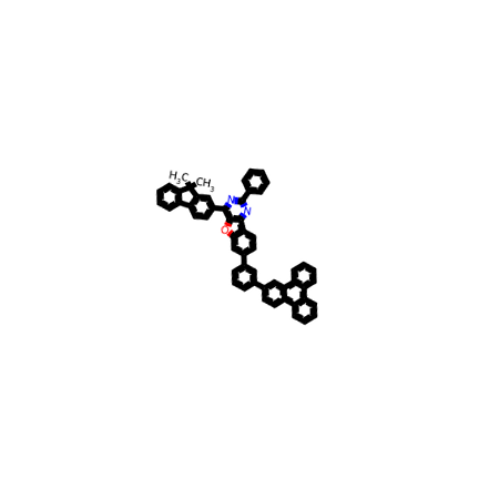 CC1(C)c2ccccc2-c2ccc(-c3nc(-c4ccccc4)nc4c3oc3cc(-c5cccc(-c6ccc7c8ccccc8c8ccccc8c7c6)c5)ccc34)cc21